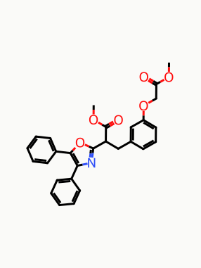 COC(=O)COc1cccc(CC(C(=O)OC)c2nc(-c3ccccc3)c(-c3ccccc3)o2)c1